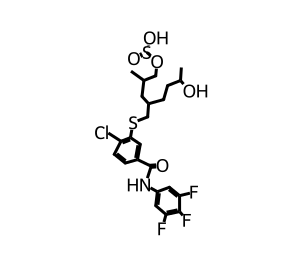 CC(O)CCC(CSc1cc(C(=O)Nc2cc(F)c(F)c(F)c2)ccc1Cl)CC(C)COS(=O)O